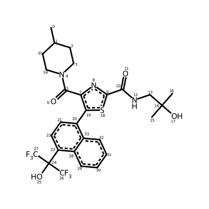 CC1CCN(C(=O)c2nc(C(=O)NCC(C)(C)O)sc2-c2ccc(C(O)(C(F)(F)F)C(F)(F)F)c3ccccc23)CC1